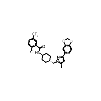 Cc1cc(-c2ccc3c(c2)OCO3)nn1C[C@H]1CC[C@H](NC(=O)c2cc(C(F)(F)F)ccc2Cl)CC1